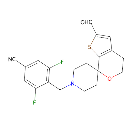 N#Cc1cc(F)c(CN2CCC3(CC2)OCCc2cc(C=O)sc23)c(F)c1